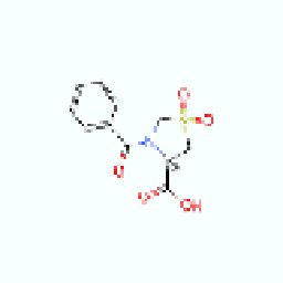 O=C(O)[C@@H]1CS(=O)(=O)CN1C(=O)c1ccccc1